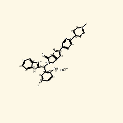 CN1CCC(c2ccc(-c3cc4c(s3)C(=O)N(C(c3nc5ccccc5[nH]3)c3cc(F)ccc3O)C4)cc2)CC1.Cl